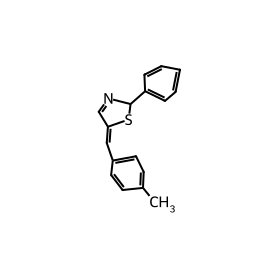 Cc1ccc(/C=C2/C=NC(c3ccccc3)S2)cc1